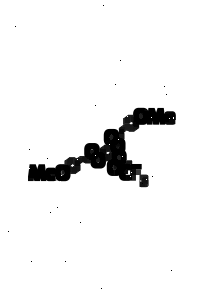 C=C(C(=O)Oc1cc(OC(=O)CCc2ccc(OC)cc2)ccc1OC(=O)CCc1ccc(OC)cc1)C(F)(F)F